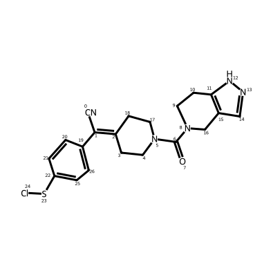 N#CC(=C1CCN(C(=O)N2CCc3[nH]ncc3C2)CC1)c1ccc(SCl)cc1